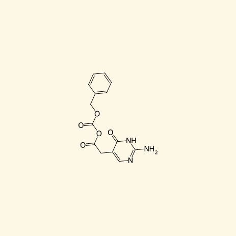 Nc1ncc(CC(=O)OC(=O)OCc2ccccc2)c(=O)[nH]1